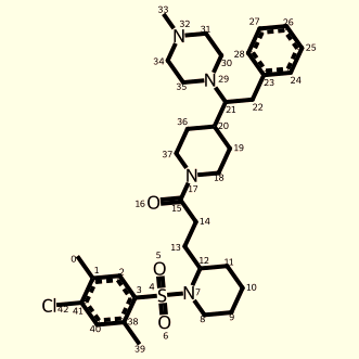 Cc1cc(S(=O)(=O)N2CCCCC2CCC(=O)N2CCC(C(Cc3ccccc3)N3CCN(C)CC3)CC2)c(C)cc1Cl